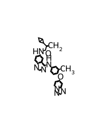 C=C(C(=O)Nc1ccc2ncnc(Nc3ccc(Oc4ccn5ncnc5c4)c(C)c3)c2c1)C1C2CC21